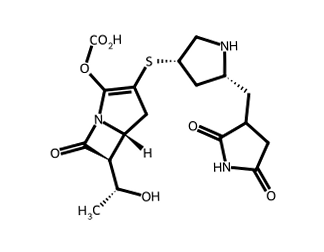 C[C@@H](O)[C@H]1C(=O)N2C(OC(=O)O)=C(S[C@@H]3CN[C@H](CC4CC(=O)NC4=O)C3)C[C@H]12